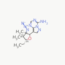 CC[C@H]1OC(c2cnn3c(N)ncnc23)[C@](C)(N=[N+]=[N-])[C@@H]1C